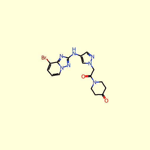 O=C1CCN(C(=O)Cn2cc(Nc3nc4c(Br)cccn4n3)cn2)CC1